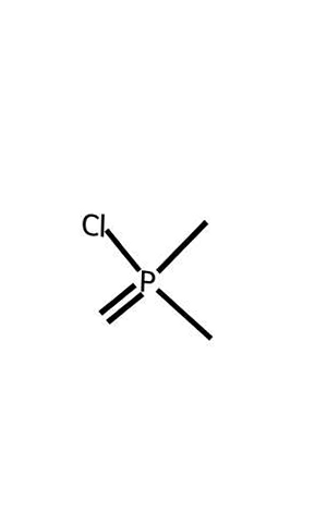 C=P(C)(C)Cl